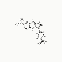 CN(C)c1ccc(N=C2C(=O)ON=C2c2ccc(C(=O)O)cc2)cc1